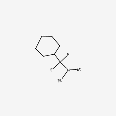 CCN(CC)C(F)(F)C1CCCCC1